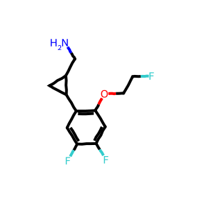 NCC1CC1c1cc(F)c(F)cc1OCCF